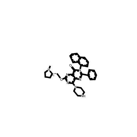 CN1CCC[C@H]1COc1nc(N2CCNCC2)c2nc(-c3ccccc3)n(-c3cccc4ccccc34)c(=O)c2n1